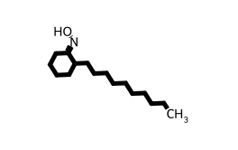 CCCCCCCCCCC1CCCC/C1=N\O